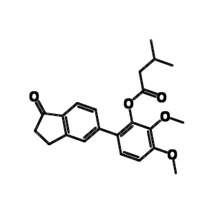 COc1ccc(-c2ccc3c(c2)CCC3=O)c(OC(=O)CC(C)C)c1OC